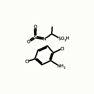 CC(N=S(=O)=O)S(=O)(=O)O.Nc1cc(Cl)ccc1Cl